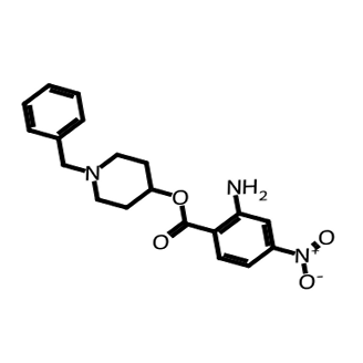 Nc1cc([N+](=O)[O-])ccc1C(=O)OC1CCN(Cc2ccccc2)CC1